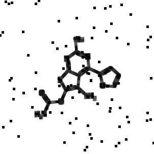 CC(C)(C)c1nc(-c2ccco2)c2c(N)c(OC(N)=O)sc2n1